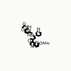 COc1ccc2ncc3c(c2n1)C(CC(NCc1ccc2c(n1)NC(=O)CO2)[C@H]1CCCNC1)CO3